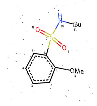 COc1ccccc1S(=O)(=O)NC(C)(C)C